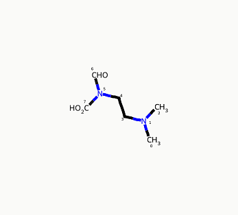 CN(C)CCN(C=O)C(=O)O